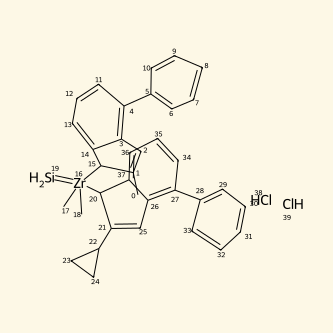 CC1=Cc2c(-c3ccccc3)cccc2[CH]1[Zr]([CH3])([CH3])(=[SiH2])[CH]1C(C2CC2)=Cc2c(-c3ccccc3)cccc21.Cl.Cl